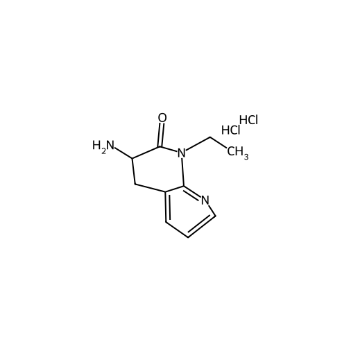 CCN1C(=O)C(N)Cc2cccnc21.Cl.Cl